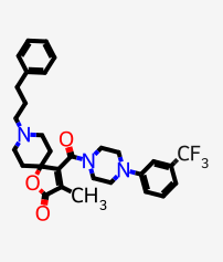 CC1=C(C(=O)N2CCN(c3cccc(C(F)(F)F)c3)CC2)C2(CCN(CCCc3ccccc3)CC2)OC1=O